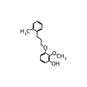 COc1c(O)cccc1OCCCc1ccccc1C